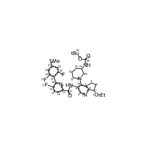 CCOC1CCc2c1ncc(NC(=O)c1ccc(F)c(-c3c(F)cc(SC)cc3F)n1)c2N1CCCC(NC(=O)OC(C)(C)C)C1